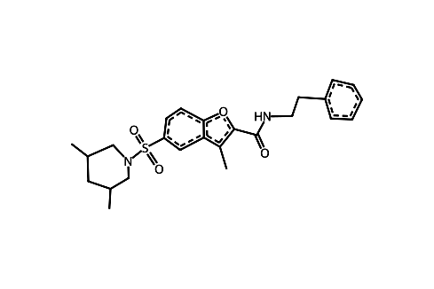 Cc1c(C(=O)NCCc2ccccc2)oc2ccc(S(=O)(=O)N3CC(C)CC(C)C3)cc12